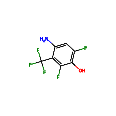 Nc1cc(F)c(O)c(F)c1C(F)(F)F